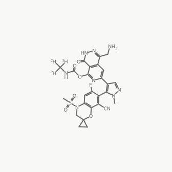 [2H]C([2H])([2H])NC(=O)Oc1nc(-c2cnn(C)c2-c2c(F)cc3c(c2C#N)OC2(CC2)CN3S(C)(=O)=O)cc2c(CN)n[nH]c(=O)c12